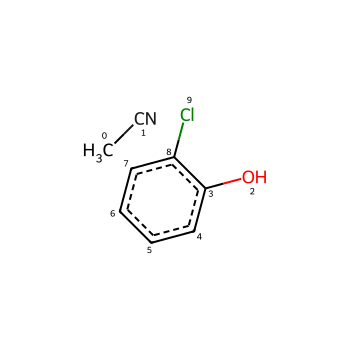 CC#N.Oc1ccccc1Cl